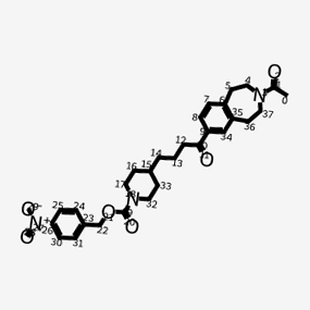 CC(=O)N1CCc2ccc(C(=O)CCCC3CCN(C(=O)OCc4ccc([N+](=O)[O-])cc4)CC3)cc2CC1